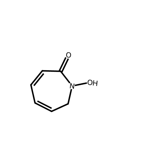 O=C1C=CC=CCN1O